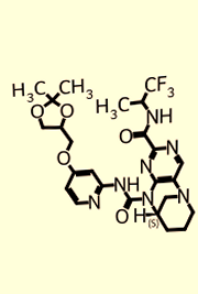 CC(NC(=O)c1ncc2c(n1)N(C(=O)Nc1cc(OCC3COC(C)(C)O3)ccn1)[C@H]1CCCN2C1)C(F)(F)F